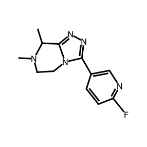 CC1c2nnc(-c3ccc(F)nc3)n2CCN1C